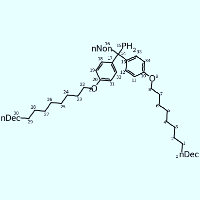 CCCCCCCCCCCCCCCCCCOc1ccc(C(P)(CCCCCCCCC)c2ccc(OCCCCCCCCCCCCCCCCCC)cc2)cc1